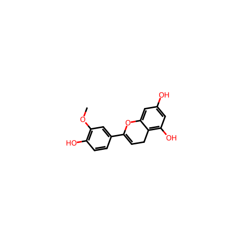 COc1cc(C2=CCc3c(O)cc(O)cc3O2)ccc1O